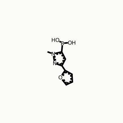 Cn1nc(-c2ccco2)cc1B(O)O